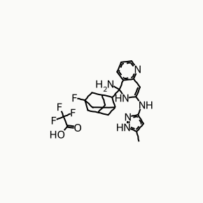 Cc1cc(NC2=Cc3ncccc3C(N)(C3C4CC5CC3CC(F)(C5)C4)N2)n[nH]1.O=C(O)C(F)(F)F